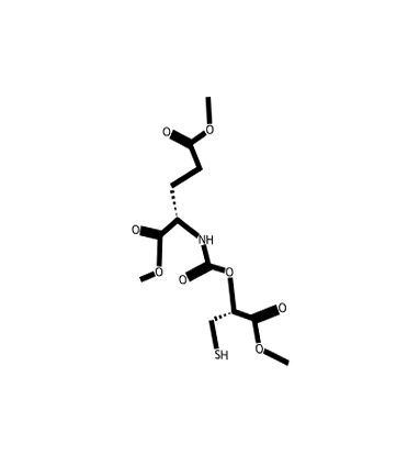 COC(=O)CC[C@H](NC(=O)O[C@@H](CS)C(=O)OC)C(=O)OC